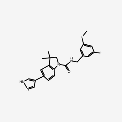 COc1cc(F)cc(CNC(=O)N2CC(C)(C)c3cc(-c4cn[nH]c4)ccc32)c1